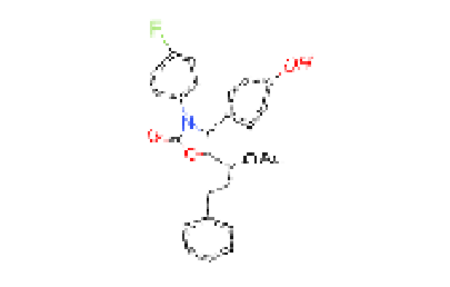 CC(=O)OC(CCc1ccccc1)C1OC(=O)N(c2ccc(F)cc2)C1c1ccc(O)cc1